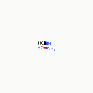 C#N.NO